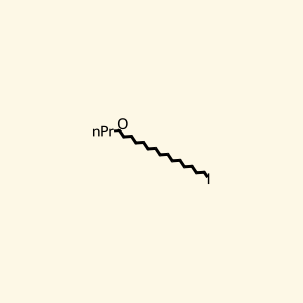 CCCC(=O)CCCCCCCCCCCCCCI